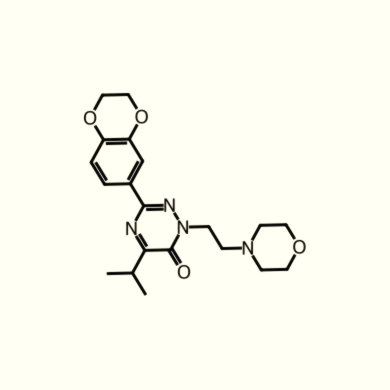 CC(C)c1nc(-c2ccc3c(c2)OCCO3)nn(CCN2CCOCC2)c1=O